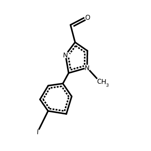 Cn1cc(C=O)nc1-c1ccc(I)cc1